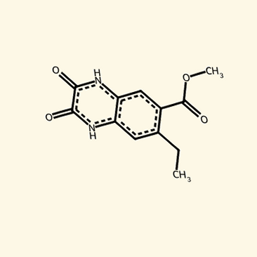 CCc1cc2[nH]c(=O)c(=O)[nH]c2cc1C(=O)OC